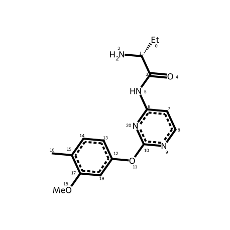 CC[C@@H](N)C(=O)Nc1ccnc(Oc2ccc(C)c(OC)c2)n1